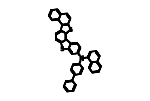 c1ccc(-c2ccc(N(c3ccc4c(c3)sc3ccc5c(sc6ccc7ccccc7c65)c34)c3cccc4ccccc34)cc2)cc1